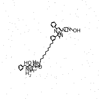 Cc1nn2c(N3CCN(CCO)CC3)cc(-c3ccccc3)nc2c1-c1cccc(CCCCCCCCCCCNC(=O)[C@H](CC(C)C)NC(=O)[C@@H](O)[C@H](N)Cc2ccccc2)c1